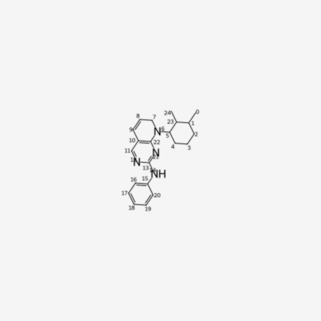 CC1CCCC(N2CC=Cc3cnc(Nc4ccccc4)nc32)C1C